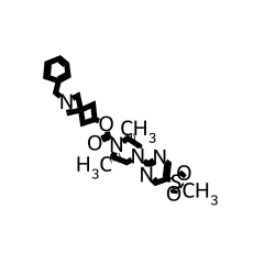 C[C@@H]1CN(c2ncc(S(C)(=O)=O)cn2)C[C@H](C)N1C(=O)OC1CC2(C1)CN(Cc1ccccc1)C2